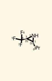 CC(C)[C@@H]1N[C@@H]1C(F)(F)F